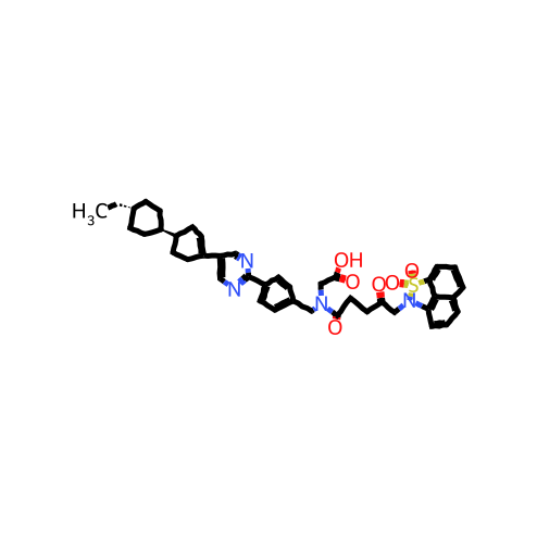 CC[C@H]1CC[C@H](C2CC=C(c3cnc(-c4ccc(CN(CC(=O)O)C(=O)CCC(=O)CN5c6cccc7cccc(c67)S5(=O)=O)cc4)nc3)CC2)CC1